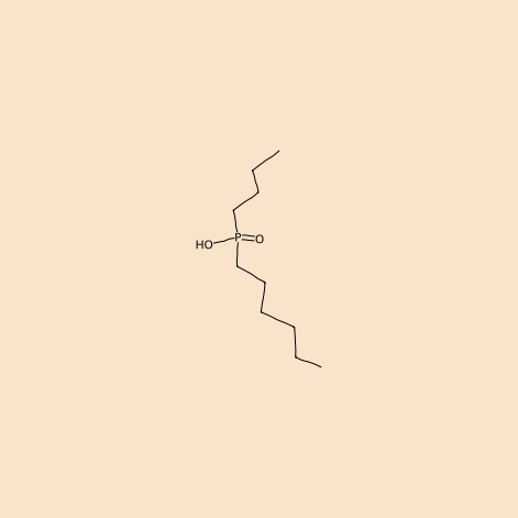 CCCCCCP(=O)(O)CCCC